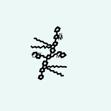 CCCCCCCCCCC1(CCCCCCCCCC)c2cc(-c3ccccc3)ccc2-c2ccc(-c3cc(/C=C/c4ccc5ccccc5n4)c(-c4ccc5c(c4)C(CCCCCCCCCC)(CCCCCCCCCC)c4cc(-c6ccc(-c7ccccc7)c7nsnc67)ccc4-5)cc3/C=C/c3ccc4ccccc4n3)cc21